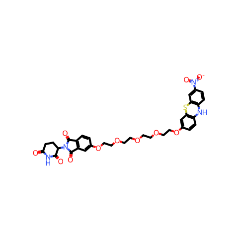 O=C1CCC(N2C(=O)c3ccc(OCCOCCOCCOCCOc4ccc5c(c4)Sc4cc([N+](=O)[O-])ccc4N5)cc3C2=O)C(=O)N1